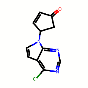 O=C1C=CC(n2ccc3c(Cl)ncnc32)C1